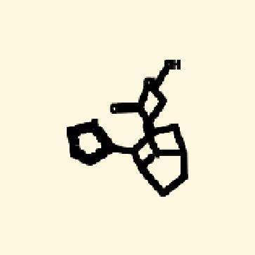 O=C(O)C1CC2CCC(C1c1cccs1)N2CCCO